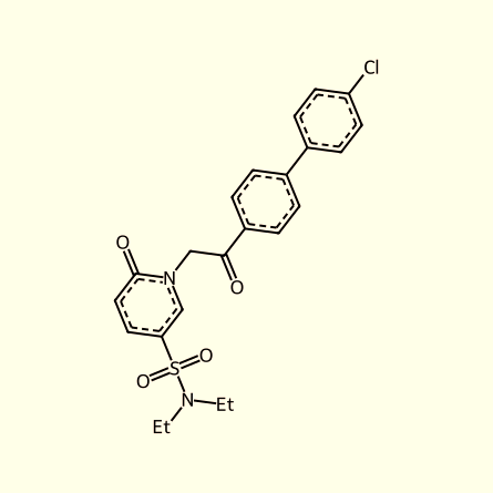 CCN(CC)S(=O)(=O)c1ccc(=O)n(CC(=O)c2ccc(-c3ccc(Cl)cc3)cc2)c1